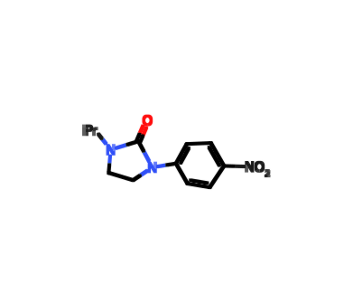 CC(C)N1CCN(c2ccc([N+](=O)[O-])cc2)C1=O